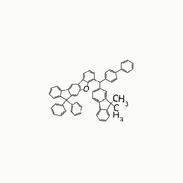 CC1(C)c2ccccc2-c2ccc(C(c3ccc(-c4ccccc4)cc3)c3cccc4c3oc3cc5c(cc34)-c3ccccc3C5(c3ccccc3)c3ccccc3)cc21